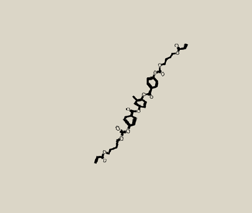 C=CC(=O)OCCCCOC(=O)OC1=CCC(C(=O)Oc2ccc(OC(=O)c3ccc(OC(=O)OCCCCOC(=O)C=C)cc3)c(C)c2)C=C1